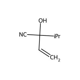 C=CC(O)(C#N)C(C)C